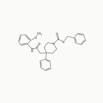 COc1ccccc1NC(=O)CC1(c2ccccc2)CCN(C(=O)OCc2ccccc2)CC1